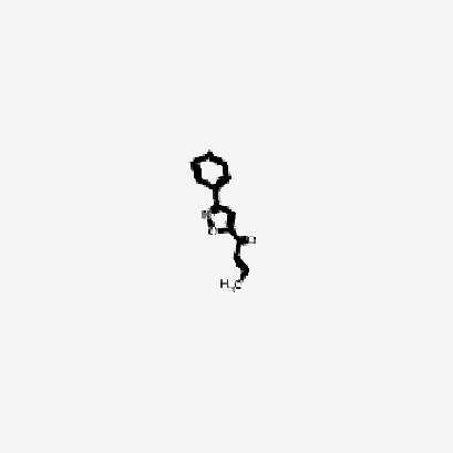 CC=CC(=O)c1cc(-c2ccccc2)no1